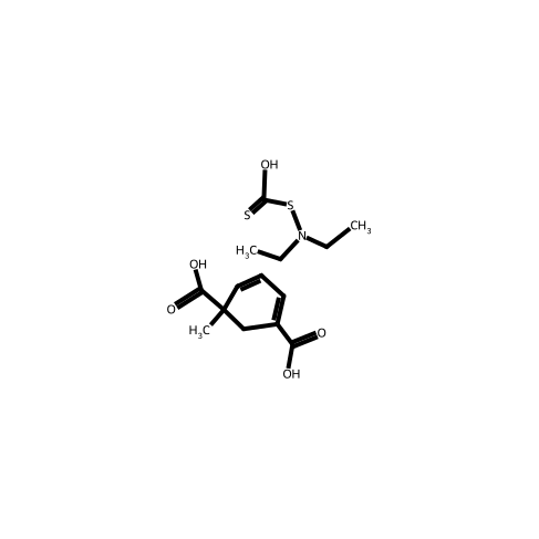 CC1(C(=O)O)C=CC=C(C(=O)O)C1.CCN(CC)SC(O)=S